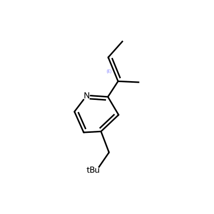 C/C=C(\C)c1cc(CC(C)(C)C)ccn1